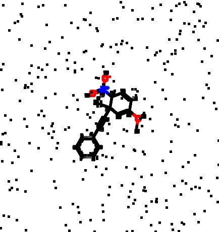 [2H]C1(C#Cc2ccccc2)C=C(OC)C=CC1[N+](=O)[O-]